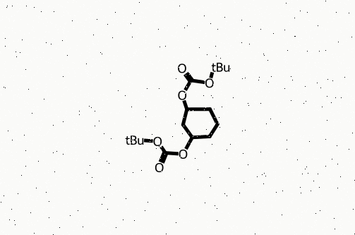 CC(C)(C)OC(=O)OC1CCCC(OC(=O)OC(C)(C)C)C1